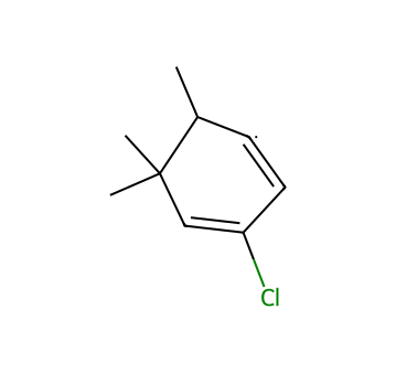 CC1[C]=CC(Cl)=CC1(C)C